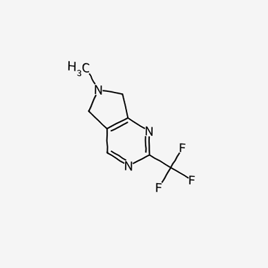 CN1Cc2cnc(C(F)(F)F)nc2C1